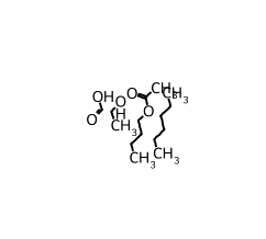 CCCCCC.CCCCOC(C)=O.CCO.O=CO